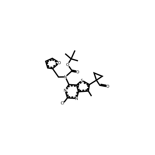 Cc1c(C2(C=O)CC2)sc2c(N(Cc3ccco3)C(=O)OC(C)(C)C)nc(Cl)nc12